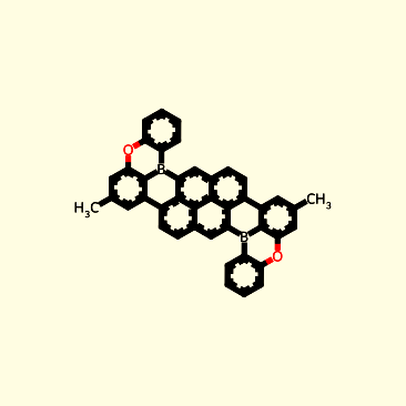 Cc1cc2c3c(c1)-c1ccc4cc5c6c(ccc7cc(c1c4c76)B3c1ccccc1O2)-c1cc(C)cc2c1B5c1ccccc1O2